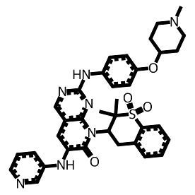 CN1CCC(Oc2ccc(Nc3ncc4cc(Nc5cccnc5)c(=O)n(C5Cc6ccccc6S(=O)(=O)C5(C)C)c4n3)cc2)CC1